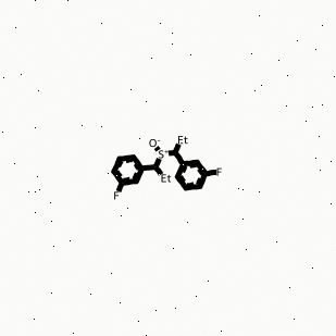 CCC(c1cccc(F)c1)[S+]([O-])C(CC)c1cccc(F)c1